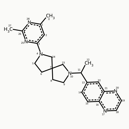 Cc1cc(N2CCC3(CCN(C(C)c4ccc5nccnc5c4)C3)C2)nc(C)n1